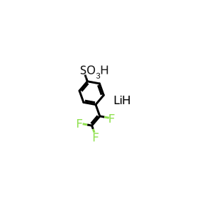 O=S(=O)(O)c1ccc(C(F)=C(F)F)cc1.[LiH]